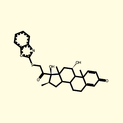 C[C@@H]1CC2C3CCC4=CC(=O)C=CC4(C)C3[C@@H](O)CC2(C)[C@@]1(O)C(=O)CSc1nc2ccccc2o1